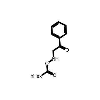 CCCCCCC(=O)ONCC(=O)c1ccccc1